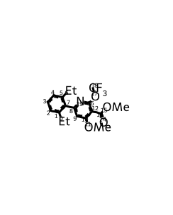 CCc1cccc(CC)c1-c1cc(OC)c(C(=O)OC)c(OC(F)(F)F)n1